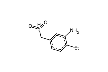 CCc1ccc(C[SH](=O)=O)cc1N